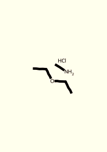 CCOCC.CN.Cl